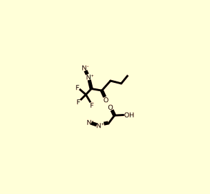 CCCC(=O)C(=[N+]=[N-])C(F)(F)F.[N-]=[N+]=CC(=O)O